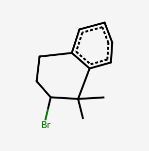 CC1(C)c2ccccc2CCC1Br